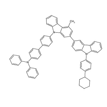 Cc1cc(-c2ccc3c(c2)c2ccccc2n3-c2ccc(C3CCCCC3)cc2)cc2c1c1ccccc1n2-c1ccc(-c2ccc(N(c3ccccc3)c3ccccc3)cc2)cc1